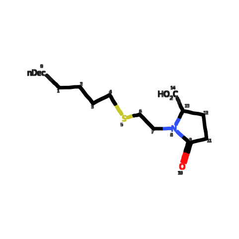 CCCCCCCCCCCCCCSCCN1C(=O)CCC1C(=O)O